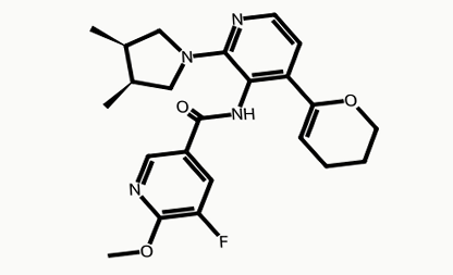 COc1ncc(C(=O)Nc2c(C3=CCCCO3)ccnc2N2C[C@@H](C)[C@@H](C)C2)cc1F